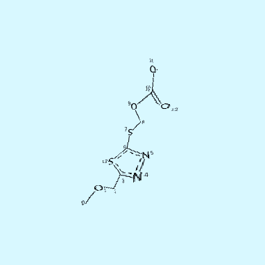 COCc1nnc(SCOC([O])=O)s1